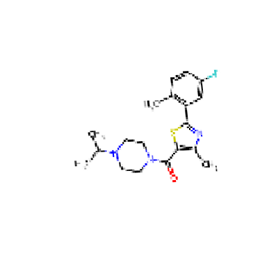 Cc1ccc(F)cc1-c1nc(C)c(C(=O)N2CCN(C(C)C)CC2)s1